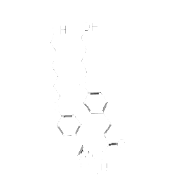 COC(=O)C=Cc1ccc(OCCCCO)cc1.O=C(O)C=Cc1ccc(OCCCCCCO)cc1